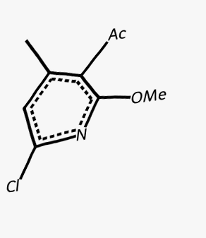 COc1nc(Cl)cc(C)c1C(C)=O